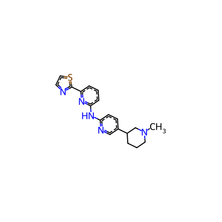 CN1CCCC(c2ccc(Nc3cccc(-c4nccs4)n3)nc2)C1